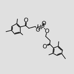 Cc1cc(C)c(C(=O)CCO[PH](=O)OCCC(=O)c2c(C)cc(C)cc2C)c(C)c1